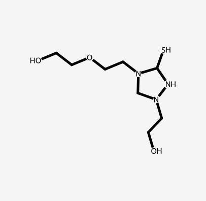 OCCOCCN1CN(CCO)NC1S